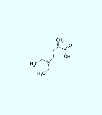 C=C(CCN(CC)CC)C(=O)O